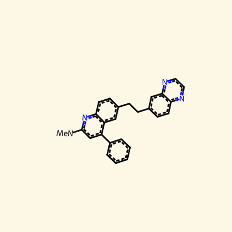 CNc1cc(-c2ccccc2)c2cc(CCc3ccc4nccnc4c3)ccc2n1